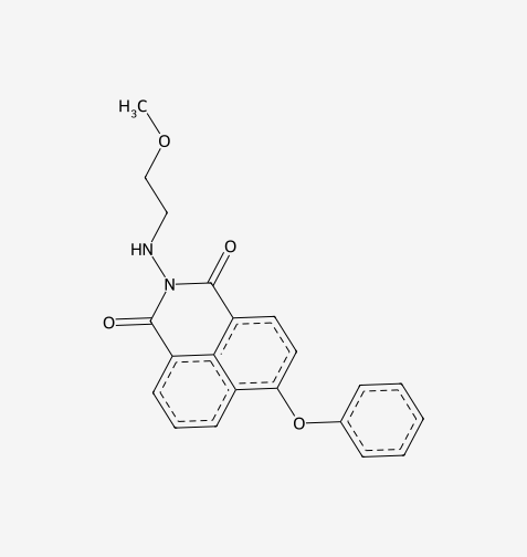 COCCNN1C(=O)c2cccc3c(Oc4ccccc4)ccc(c23)C1=O